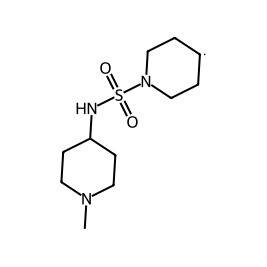 CN1CCC(NS(=O)(=O)N2CC[CH]CC2)CC1